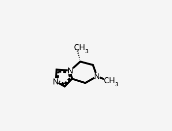 C[C@@H]1CN(C)Cc2cncn21